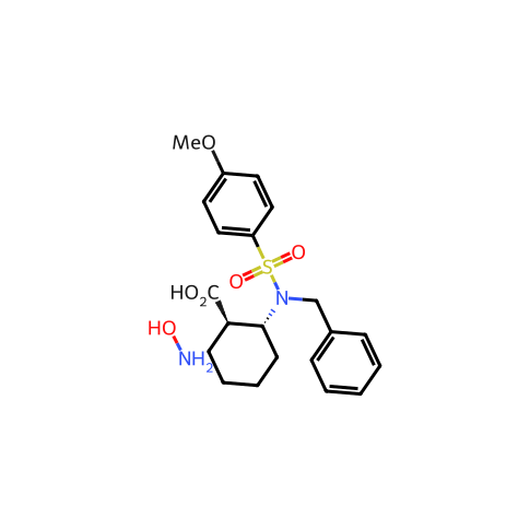 COc1ccc(S(=O)(=O)N(Cc2ccccc2)[C@@H]2CCCC[C@H]2C(=O)O)cc1.NO